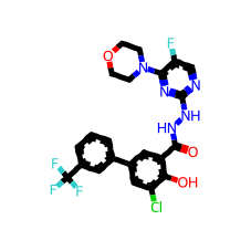 O=C(NNc1ncc(F)c(N2CCOCC2)n1)c1cc(-c2cccc(C(F)(F)F)c2)cc(Cl)c1O